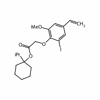 C=Cc1cc(I)c(OCC(=O)OC2(C(C)C)CCCCC2)c(OC)c1